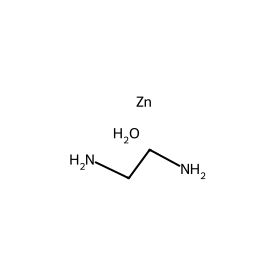 NCCN.O.[Zn]